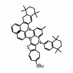 Cc1ccc2c(c1)N(C1=C(c3ccccc3)CC3C(=C1)C(C)(C)CCC3(C)C)c1cc(C)cc3c1B2c1sc2c(c1N3c1ccc3c(c1)C(C)(C)CCC3(C)C)CC=C(C(C)(C)C)C=C2